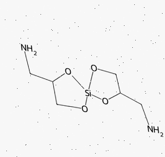 NCC1CO[Si]2(OCC(CN)O2)O1